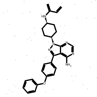 C=CC(=C)N[C@H]1CC[C@@H](n2nc(-c3ccc(Oc4ccccc4)cc3)c3c(N)ncnc32)CC1